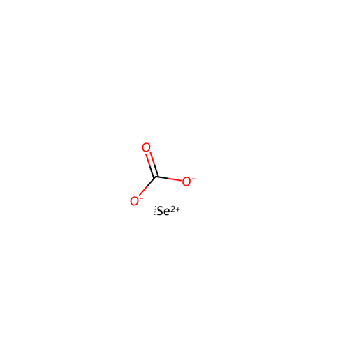 O=C([O-])[O-].[Se+2]